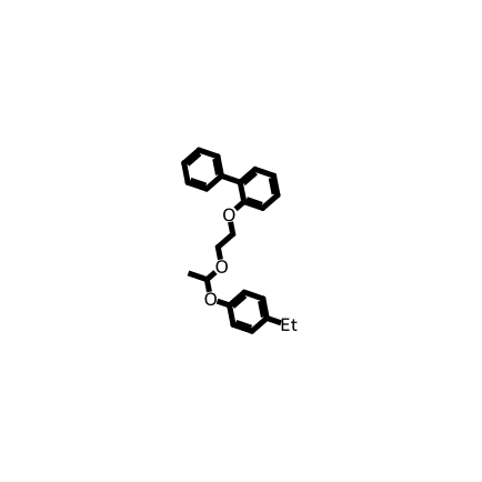 CCc1ccc(OC(C)OCCOc2ccccc2-c2ccccc2)cc1